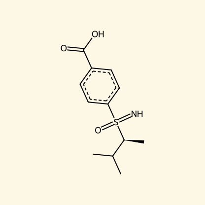 CC(C)[C@H](C)S(=N)(=O)c1ccc(C(=O)O)cc1